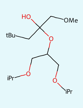 COCC(O)(CC(C)(C)C)OC(COC(C)C)COC(C)C